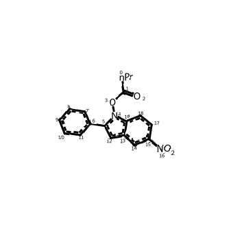 CCCC(=O)On1c(-c2ccccc2)cc2cc([N+](=O)[O-])ccc21